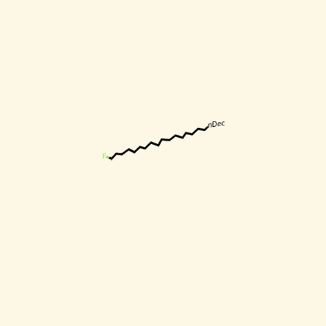 CCCCCCCCCCCCCCCCCCCCCCCCCC[CH]F